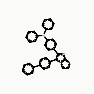 c1ccc(-c2ccc(-c3c(-c4ccc(N(c5ccccc5)c5ccccc5)cc4)nc4occn34)cc2)cc1